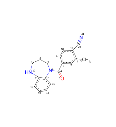 Cc1cc(C(=O)N2CCCNc3ccccc32)ccc1C#N